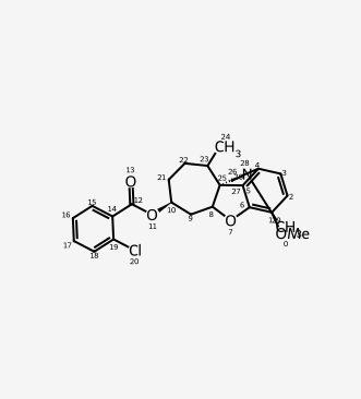 COc1ccc2c3c1OC1C[C@@H](OC(=O)c4ccccc4Cl)CCC(C)[C@@]31CCN(C)C2